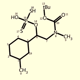 CC1CCCC(C(CN(C)C(=O)OC(C)(C)C)OP(O)(=S)S)C1